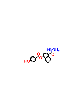 NNC(=O)c1ccc(OC(=O)c2ccc(O)cc2)c2ccccc12